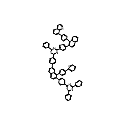 c1ccc(-c2nc(-c3ccc(-c4ccc5ccc(-c6ccc(-c7nc(-c8ccccc8)nc(-c8ccccc8)n7)cc6)c(-c6ccc(-c7ccccn7)cc6)c5c4)cc3)nc(-c3ccc(-c4ccc5ccccc5c4-c4ccc(-c5cccc6cccnc56)cc4)cc3)n2)cc1